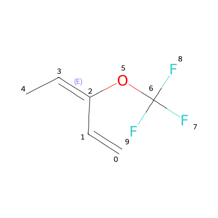 C=C/C(=C\C)OC(F)(F)F